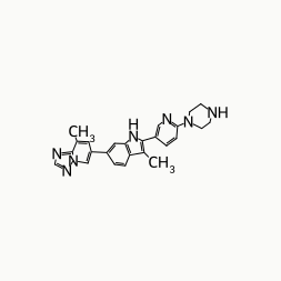 Cc1c(-c2ccc(N3CCNCC3)nc2)[nH]c2cc(-c3cc(C)c4ncnn4c3)ccc12